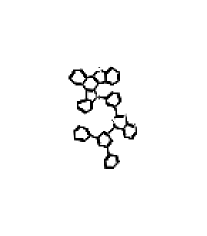 c1ccc(-c2cc(-c3ccccc3)cc(-c3nc(-c4cccc(-n5c6ccccc6c6c7ccccc7c7sc8ccccc8c7c65)c4)nc4ncccc34)c2)cc1